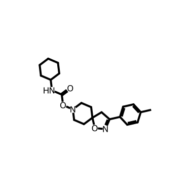 Cc1ccc(C2=NOC3(CCN(OC(=O)NC4CCCCC4)CC3)C2)cc1